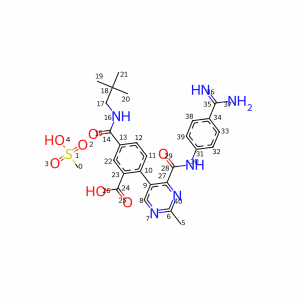 CS(=O)(=O)O.Cc1ncc(-c2ccc(C(=O)NCC(C)(C)C)cc2C(=O)O)c(C(=O)Nc2ccc(C(=N)N)cc2)n1